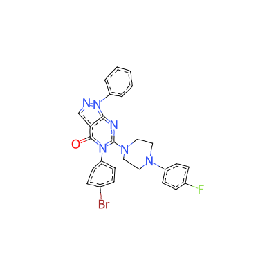 O=c1c2cnn(-c3ccccc3)c2nc(N2CCN(c3ccc(F)cc3)CC2)n1-c1ccc(Br)cc1